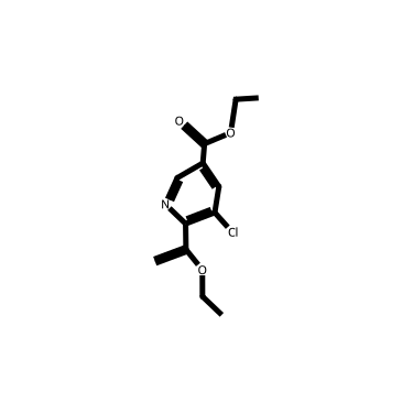 C=C(OCC)c1ncc(C(=O)OCC)cc1Cl